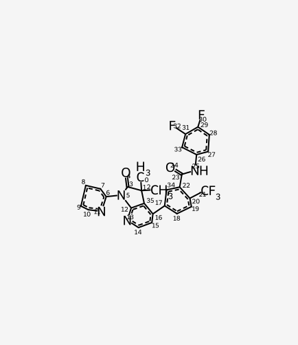 CC1(C)C(=O)N(c2ccccn2)c2nccc(-c3ccc(C(F)(F)F)c(C(=O)Nc4ccc(F)c(F)c4)c3)c21